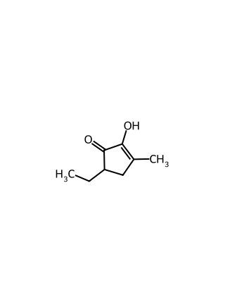 CCC1CC(C)=C(O)C1=O